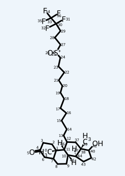 C[C@]12CCC(=O)CC1CC[C@@H]1[C@H]2C(CCCCCCCCCCCC[S+]([O-])CCCC(F)(F)C(F)(F)F)C[C@]2(C)C(O)CC[C@@H]12